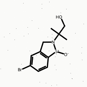 CC(C)(CO)N1Cc2cc(Br)ccc2[S+]1[O-]